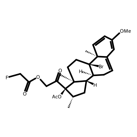 COC1=CC2=CC[C@H]3[C@@H]4C[C@H](C)[C@](OC(C)=O)(C(=O)COC(=O)CF)[C@@]4(C)CC[C@]3(Br)[C@@]2(C)C=C1